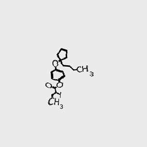 CCCCC1(Oc2ccc(OC(=O)C(I)CC)cc2)CCCC1